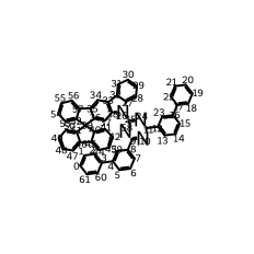 c1ccc(-c2cccc(-c3nc(-c4cccc(-c5ccccc5)c4)nc(-n4c5ccccc5c5cc6c(cc54)C4(c5ccccc5-c5ccccc54)c4ccccc4-6)n3)c2)cc1